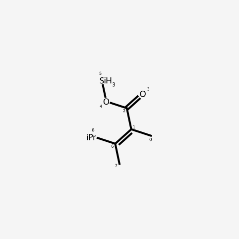 CC(C(=O)O[SiH3])=C(C)C(C)C